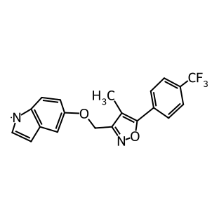 Cc1c(COc2ccc3c(c2)C=C[N]3)noc1-c1ccc(C(F)(F)F)cc1